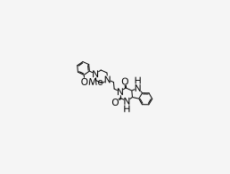 COc1ccccc1N1CCN(CCN2C(=O)NC3c4ccccc4NC3C2=O)CC1